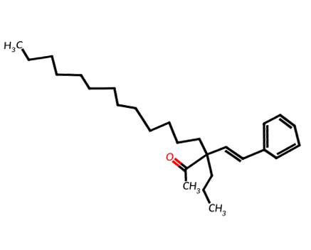 CCCCCCCCCCCCCC(C=Cc1ccccc1)(CCC)C(C)=O